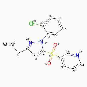 CNCc1cc(S(=O)(=O)c2cccnc2)n(-c2ccccc2Cl)n1